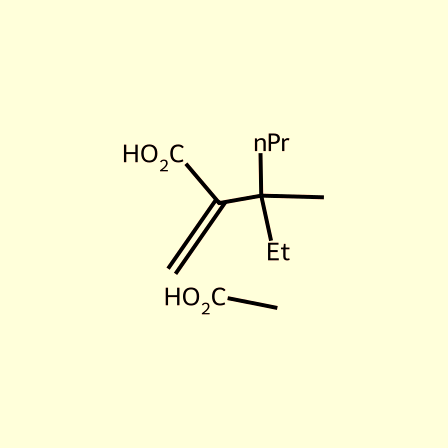 C=C(C(=O)O)C(C)(CC)CCC.CC(=O)O